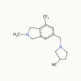 CN1Cc2cc(CN3CCC(C#N)C3)cc(C(F)(F)F)c2C1